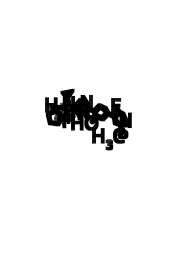 CSc1cc(-c2ccc(-c3ncc(N(C4CC4)[C@@H]4C[C@H]5CCC[C@H](C5)[C@@H]4F)nn3)c(O)c2)c(F)cn1